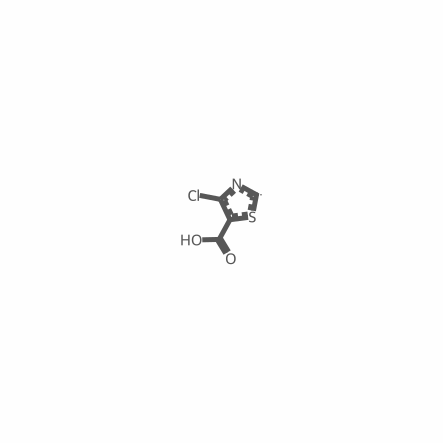 O=C(O)c1s[c]nc1Cl